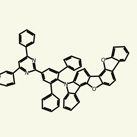 c1ccc(-c2cc(-c3ccccc3)nc(-c3cc(-c4ccccc4)c(-n4c5ccccc5c5c6oc7ccc8c9ccccc9oc8c7c6ccc54)c(-c4ccccc4)c3)n2)cc1